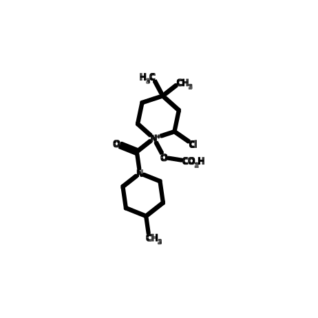 CC1CCN(C(=O)[N+]2(OC(=O)O)CCC(C)(C)CC2Cl)CC1